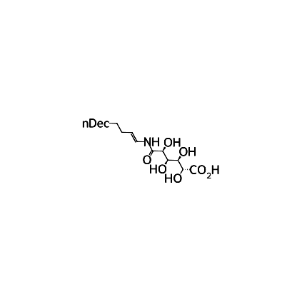 CCCCCCCCCCCC/C=C/NC(=O)[C@@H](O)[C@H](O)[C@@H](O)[C@@H](O)C(=O)O